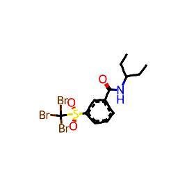 CCC(CC)NC(=O)c1cccc(S(=O)(=O)C(Br)(Br)Br)c1